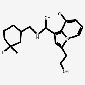 CC1(F)CCCC(CNC(O)c2cc(CCO)n3cccc(Cl)c23)C1